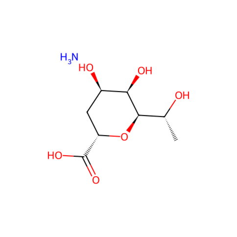 C[C@@H](O)[C@H]1O[C@H](C(=O)O)C[C@@H](O)[C@H]1O.N